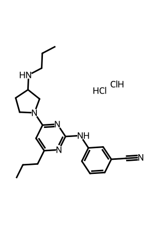 CCCNC1CCN(c2cc(CCC)nc(Nc3cccc(C#N)c3)n2)C1.Cl.Cl